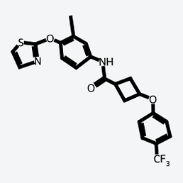 Cc1cc(NC(=O)C2CC(Oc3ccc(C(F)(F)F)cc3)C2)ccc1Oc1nccs1